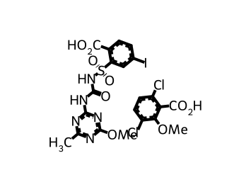 COc1c(Cl)ccc(Cl)c1C(=O)O.COc1nc(C)nc(NC(=O)NS(=O)(=O)c2cc(I)ccc2C(=O)O)n1